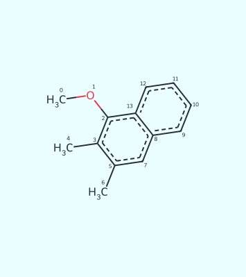 COc1c(C)c(C)cc2ccccc12